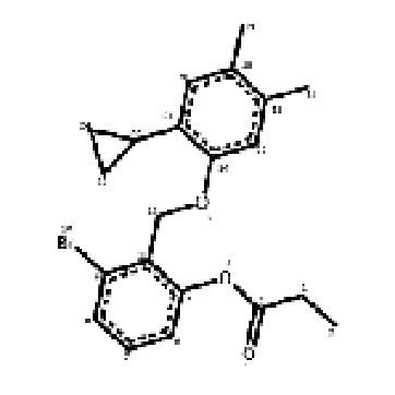 CCC(=O)Oc1cccc(Br)c1COc1cc(C)c(C)cc1C1CC1